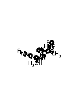 COc1cc(N2CCC(N3CCN(CCF)CC3)CC2)ccc1Nc1nccc(-c2c(-c3ccc(OC)c(C(=O)Nc4c(F)cccc4F)c3)nc3ccccn23)n1